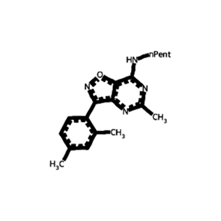 CCCCCNc1nc(C)nc2c(-c3ccc(C)cc3C)noc12